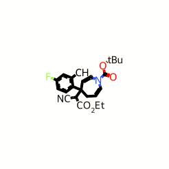 CCOC(=O)C(C#N)C1(c2ccc(F)cc2C)C=CN(C(=O)OC(C)(C)C)C=CC1